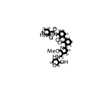 COc1nc(-c2cccc(-c3cccc(NC(=O)c4ccn[nH]c4=O)c3Cl)c2Cl)ccc1CNC1CCOC[C@@H]1O